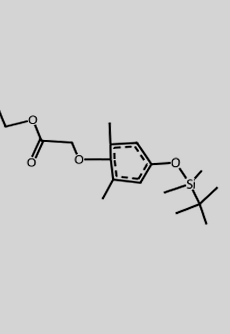 CCOC(=O)COc1c(C)cc(O[Si](C)(C)C(C)(C)C)cc1C